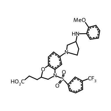 COc1ccccc1NC1CCN(c2ccc3c(c2)N(S(=O)(=O)c2cccc(C(F)(F)F)c2)CC(CCC(=O)O)O3)C1